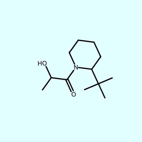 CC(O)C(=O)N1CCCCC1C(C)(C)C